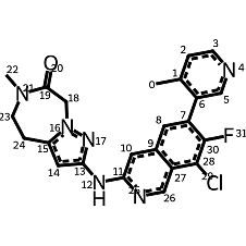 Cc1ccncc1-c1cc2cc(Nc3cc4n(n3)CC(=O)N(C)CC4)ncc2c(Cl)c1F